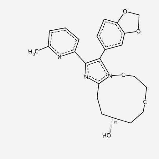 Cc1cccc(-c2nc3n(c2-c2ccc4c(c2)OCO4)CCCCCC[C@H](O)CC3)n1